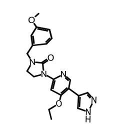 CCOc1cc(N2CCN(Cc3cccc(OC)c3)C2=O)ncc1-c1cn[nH]c1